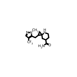 Cn1ncc(C(F)(F)F)c1CC1CC12CC(C(N)=O)CCN2